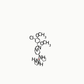 COc1cc(OC)c(-c2cn3ccc(NC4C[C@H]5CC[C@@H](C4)N5CC4CCCC4)cc3n2)cc1Cl